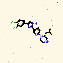 CC(C)CC1CNCCN1c1ccc(-c2nc(-c3ccc(Cl)c(Cl)c3)c[nH]2)cn1